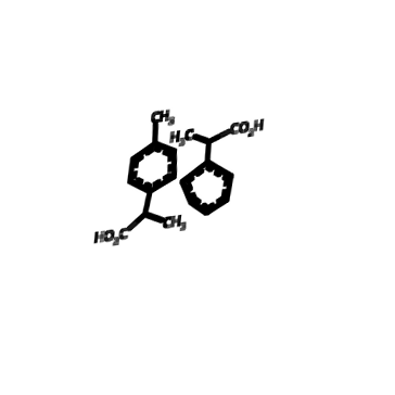 CC(C(=O)O)c1ccccc1.Cc1ccc(C(C)C(=O)O)cc1